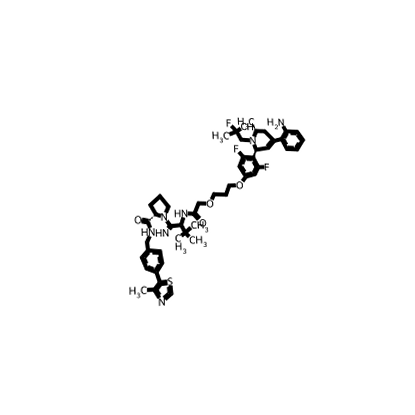 Cc1ncsc1-c1ccc(CNC(=O)[C@@H]2CCCN2C(=N)C(NC(=O)COCCCOc2cc(F)c([C@@H]3C=C(c4ccccc4N)C[C@@H](C)N3CC(C)(C)F)c(F)c2)C(C)(C)C)cc1